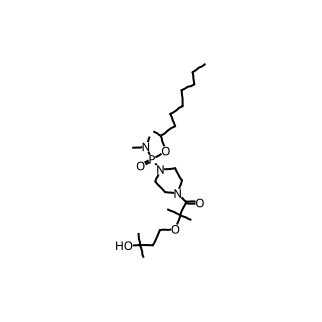 CCCCCCCC(C)OP(=O)(N(C)C)N1CCN(C(=O)C(C)(C)OCCC(C)(C)O)CC1